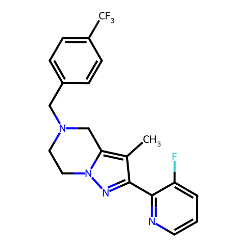 Cc1c(-c2ncccc2F)nn2c1CN(Cc1ccc(C(F)(F)F)cc1)CC2